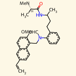 C=Cc1ccc2c(CN(C=O)c3ccccc3CCC(C)NC(=O)[C@H](C)NC)c(OC)ccc2c1